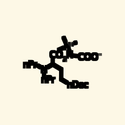 CCCCCCCCCCCCC(C(=O)O)N(CCC)CCC.C[N+](C)(C)CC(=O)[O-]